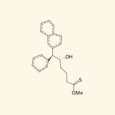 COC(=S)CCC[C@@H](O)[C@@H](c1ccccc1)c1ccc2ccccc2c1